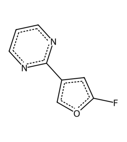 Fc1cc(-c2ncccn2)co1